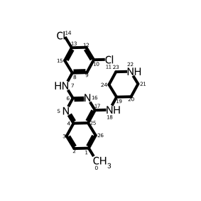 Cc1ccc2nc(Nc3cc(Cl)cc(Cl)c3)nc(NC3CCNCC3)c2c1